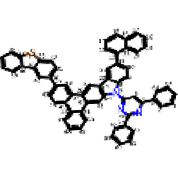 c1ccc(-c2cc(-n3c4ccc(-c5cccc6ccccc56)cc4c4cc5c6cc(-c7ccc8sc9ccccc9c8c7)ccc6c6ccccc6c5cc43)nc(-c3ccccc3)n2)cc1